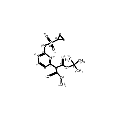 COC(=O)C(C(=O)OC(C)(C)C)c1ccnc(NS(=O)(=O)C2CC2)n1